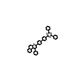 c1ccc(-c2nc(-c3ccccc3)nc(-c3ccc(-c4ccc(-c5cc(-c6ccccc6)c6c(ccc7ccccc76)n5)cc4)cc3)n2)cc1